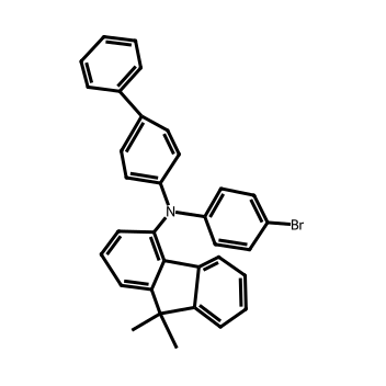 CC1(C)c2ccccc2-c2c(N(c3ccc(Br)cc3)c3ccc(-c4ccccc4)cc3)cccc21